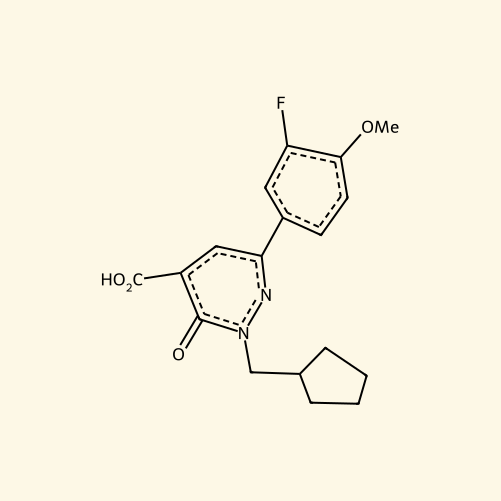 COc1ccc(-c2cc(C(=O)O)c(=O)n(CC3CCCC3)n2)cc1F